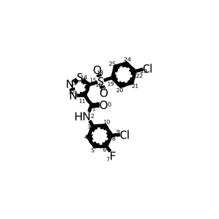 O=C(Nc1ccc(F)c(Cl)c1)c1nnsc1S(=O)(=O)c1ccc(Cl)cc1